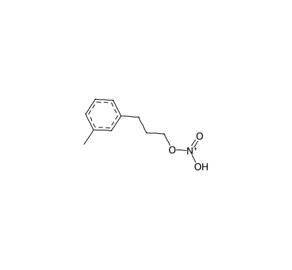 Cc1cccc(CCCO[N+](=O)O)c1